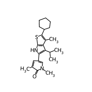 Cc1cc(-c2[nH]c3sc(C4CCCCC4)c(C)c3c2C(C)C)cn(C)c1=O